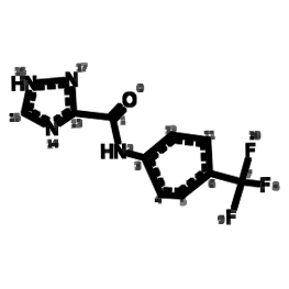 O=C(Nc1ccc(C(F)(F)F)cc1)c1nc[nH]n1